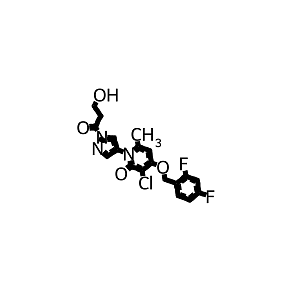 Cc1cc(OCc2ccc(F)cc2F)c(Cl)c(=O)n1-c1cnn(C(=O)CCO)c1